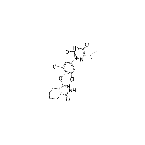 CC(C)c1nn(-c2cc(Cl)c(Oc3n[nH]c(=O)c4c3CCCC4)c(Cl)c2)c(=O)[nH]c1=O